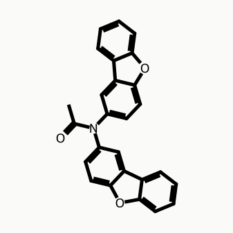 CC(=O)N(c1ccc2oc3ccccc3c2c1)c1ccc2oc3ccccc3c2c1